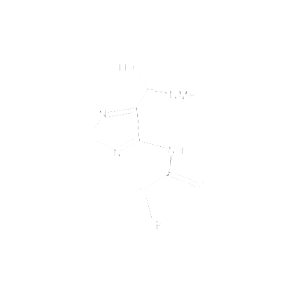 CNC(C)c1nonc1NC(=O)OC(C)(C)C